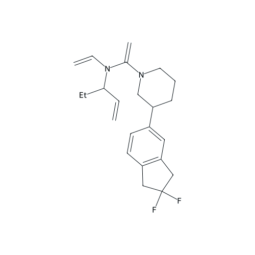 C=CC(CC)N(C=C)C(=C)N1CCCC(c2ccc3c(c2)CC(F)(F)C3)C1